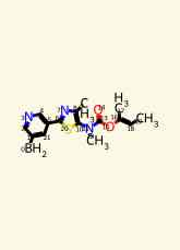 Bc1cncc(-c2nc(C)c(N(C)C(=O)O/C(C)=C/C)s2)c1